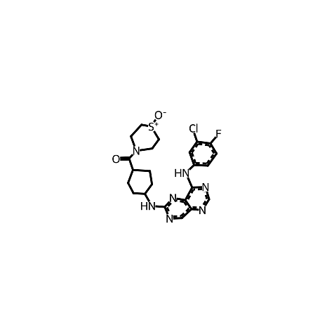 O=C(C1CCC(Nc2ncc3ncnc(Nc4ccc(F)c(Cl)c4)c3n2)CC1)N1CC[S+]([O-])CC1